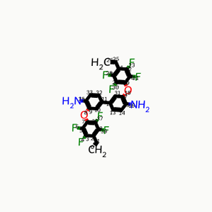 C=Cc1c(F)c(F)c(Oc2cc(-c3ccc(N)c(Oc4c(F)c(F)c(C=C)c(F)c4F)c3)ccc2N)c(F)c1F